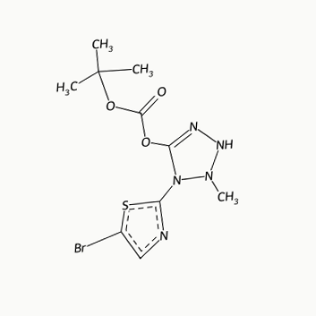 CN1NN=C(OC(=O)OC(C)(C)C)N1c1ncc(Br)s1